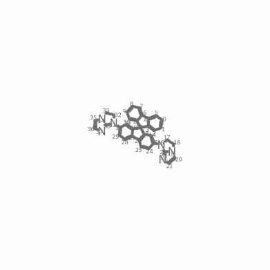 c1ccc2c(c1)-c1ccccc1C21c2cc(N3CCn4ccnc43)ccc2-c2ccc(N3CCn4ccnc43)cc21